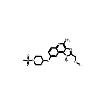 CCCn1c(COCC)nc2c(N)nc3ccc(OC4CCN(S(C)(=O)=O)CC4)cc3c21